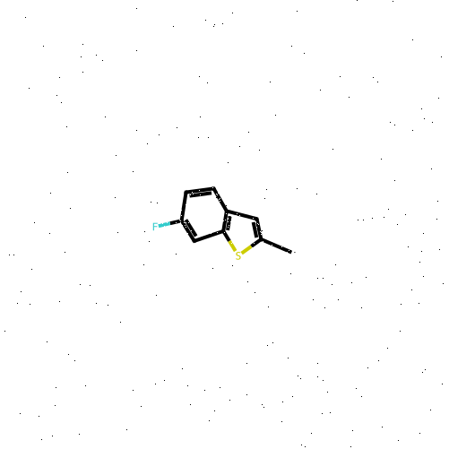 [CH2]c1cc2ccc(F)cc2s1